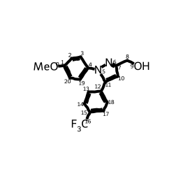 COc1ccc(-n2nc(CO)cc2-c2ccc(C(F)(F)F)cc2)cc1